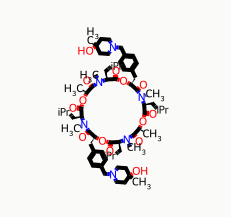 CC(C)C[C@H]1C(=O)O[C@H](Cc2ccc(CN3CCC(C)(O)CC3)cc2)C(=O)N(C)[C@@H](CC(C)C)C(=O)O[C@H](C)C(=O)N(C)[C@@H](CC(C)C)C(=O)O[C@H](Cc2ccc(CN3CCC(C)(O)CC3)cc2)C(=O)N(C)[C@@H](CC(C)C)C(=O)O[C@H](C)C(=O)N1C